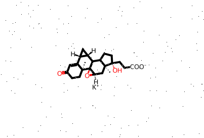 C[C@]12CCC(=O)C=C1[C@@H]1C[C@@H]1C1C3CC[C@@](O)(CCC(=O)[O-])[C@@]3(C)C[C@H]3O[C@@]132.[K+]